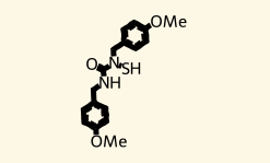 COc1ccc(CNC(=O)N(S)Cc2ccc(OC)cc2)cc1